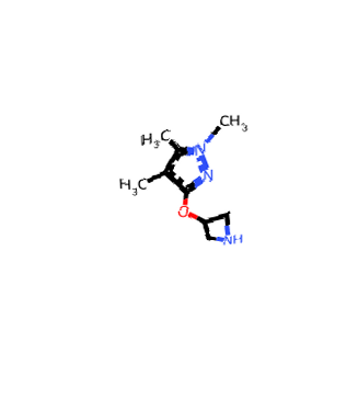 Cc1c(OC2CNC2)nn(C)c1C